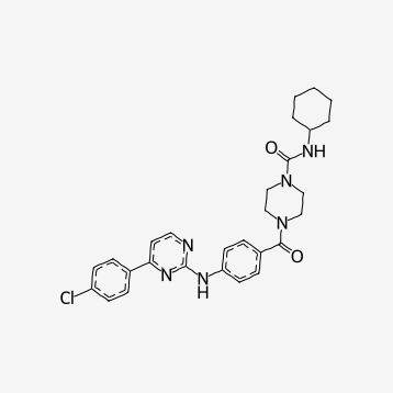 O=C(NC1CCCCC1)N1CCN(C(=O)c2ccc(Nc3nccc(-c4ccc(Cl)cc4)n3)cc2)CC1